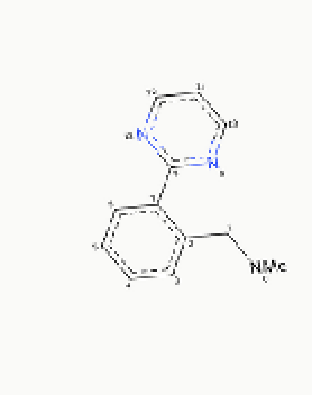 CNCc1ccccc1-c1ncccn1